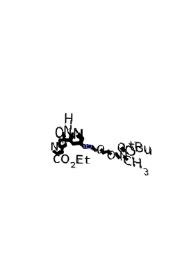 CCOC(=O)c1cnc2c(c1)C[C@@]1(C2)C(=O)Nc2ncc(/C=C/COCCOCCN(C)C(=O)OC(C)(C)C)cc21